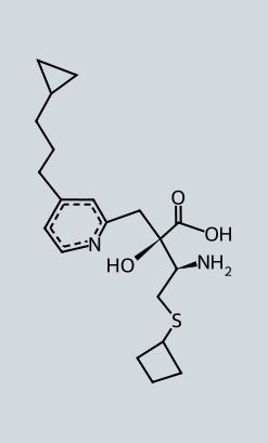 N[C@@H](CSC1CCC1)[C@](O)(Cc1cc(CCCC2CC2)ccn1)C(=O)O